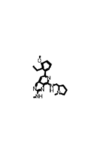 CCc1c(OC)cccc1-c1cc2cnc(NC)nc2c(NCC2CCCN2C)n1